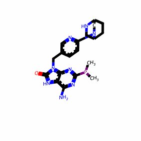 CP(C)c1nc(N)c2[nH]c(=O)n(Cc3ccc(N4CC5CCC4CN5)nc3)c2n1